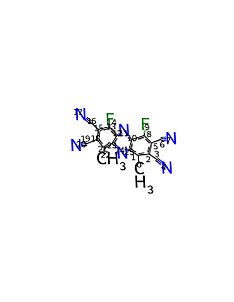 Cc1c(C#N)c(C#N)c(F)c2nc3c(F)c(C#N)c(C#N)c(C)c3nc12